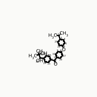 CC(C)c1ccc(Oc2ccc(C(=O)c3ccc(C(O)C(C)(C)C)cc3)cc2)cc1